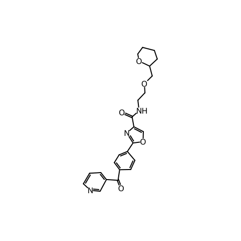 O=C(c1ccc(-c2nc(C(=O)NCCOCC3CCCCO3)co2)cc1)c1cccnc1